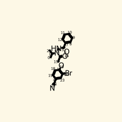 CC(C)N(NC(=O)c1ccccc1)C(=O)COc1ccc(C#N)cc1Br